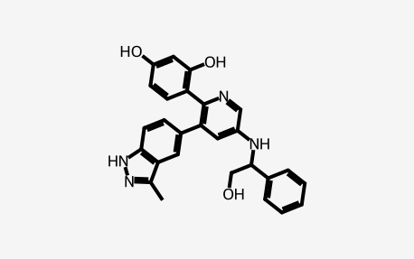 Cc1n[nH]c2ccc(-c3cc(NC(CO)c4ccccc4)cnc3-c3ccc(O)cc3O)cc12